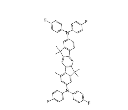 Cc1cc(N(c2ccc(F)cc2)c2ccc(F)cc2)cc2c1-c1cc3c(cc1C2(C)C)-c1ccc(N(c2ccc(F)cc2)c2ccc(F)cc2)cc1C3(C)C